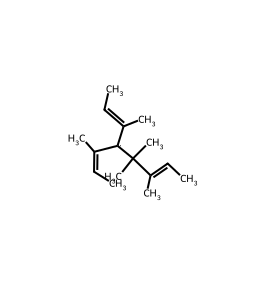 CC=C(C)[C](C(C)=CC)C(C)(C)C(C)=CC